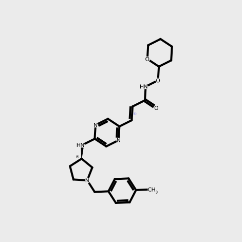 Cc1ccc(CN2CC[C@@H](Nc3cnc(/C=C/C(=O)NOC4CCCCO4)cn3)C2)cc1